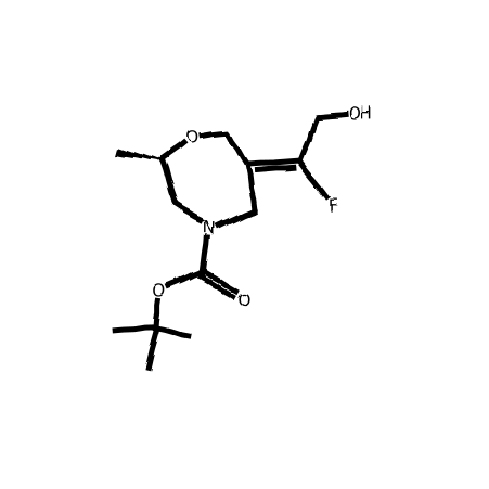 C[C@@H]1CN(C(=O)OC(C)(C)C)C/C(=C(\F)CO)CO1